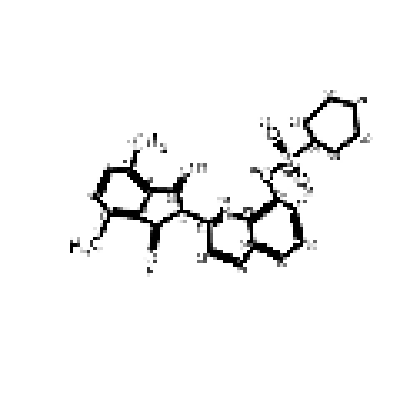 Cc1ccc(C)c2c1C(=O)C(c1ccc3cccc(OS(=O)(=O)C4CCCCC4)c3n1)C2=O